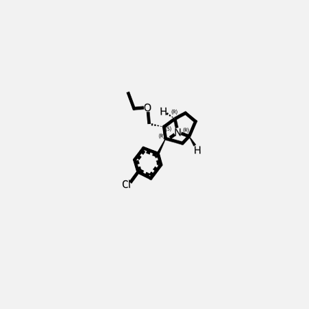 CCOC[C@@H]1[C@H]2CC[C@H](C[C@H]1c1ccc(Cl)cc1)N2C